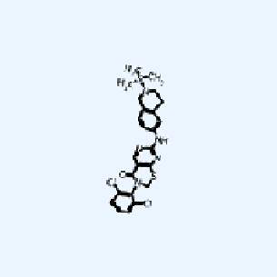 CS(C)(C)N1CCc2cc(Nc3ncc4c(n3)SCN(c3c(Cl)cccc3Cl)C4=O)ccc2C1